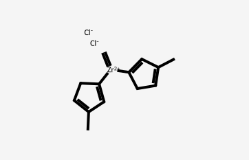 [CH2]=[Zr+2]([C]1=CC(C)=CC1)[C]1=CC(C)=CC1.[Cl-].[Cl-]